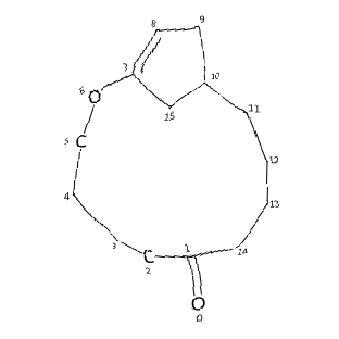 O=C1CCCCOC2=CCC(CCCC1)C2